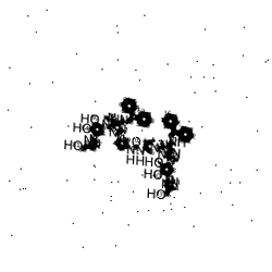 O=C(N[C@@H]1CCN(c2nc(NCC(c3ccccc3)c3ccccc3)c3ncn([C@@H]4C[C@H](n5ncc(CO)n5)[C@@H](O)[C@H]4O)c3n2)C1)N[C@@H]1CCN(c2nc(NCC(c3ccccc3)c3ccccc3)c3ncn([C@@H]4C[C@H](n5ncc(CO)n5)[C@@H](O)[C@H]4O)c3n2)C1